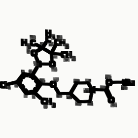 Cc1cc(Cl)cc(B2OC(C)(C)C(C)(C)O2)c1OCC1CCN(C(=O)OC(C)(C)C)CC1